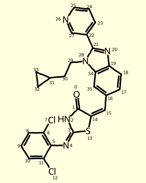 O=C1NC(=Nc2c(Cl)cccc2Cl)SC1=Cc1ccc2nc(-c3cccnc3)n(CCC3CC3)c2c1